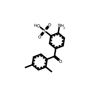 Cc1ccc(C(=O)c2ccc(N)c(S(=O)(=O)O)c2)c(C)c1